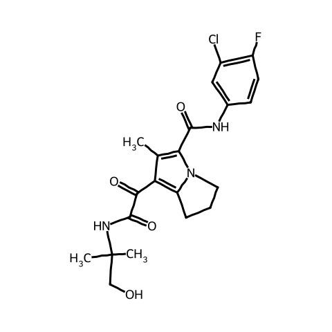 Cc1c(C(=O)C(=O)NC(C)(C)CO)c2n(c1C(=O)Nc1ccc(F)c(Cl)c1)CCC2